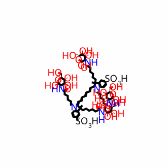 CC1(CCCCCC(=O)N[C@H]2[C@H](O)[C@@H](O)[C@H](CO)O[C@@H]2O)\C(=C/C=C/C=C/C=C/C2N(CCCCCC(=O)N[C@H]3[C@H](O)[C@@H](O)[C@H](CO)O[C@@H]3O)c3ccc(S(=O)(=O)O)cc3C2(C)CCCCCC(=O)N[C@@H]2[C@@H](O)[C@H](O)[C@@H](CO)O[C@H]2O)N(CCCCCC(=O)N[C@H]2[C@H](O)[C@@H](O)[C@H](CO)O[C@@H]2O)c2ccc(S(=O)(=O)O)cc21